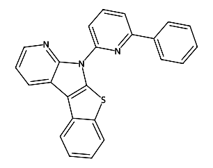 c1ccc(-c2cccc(-n3c4ncccc4c4c5ccccc5sc43)n2)cc1